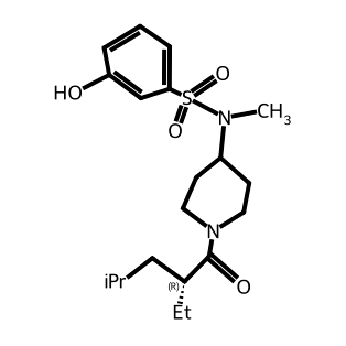 CC[C@H](CC(C)C)C(=O)N1CCC(N(C)S(=O)(=O)c2cccc(O)c2)CC1